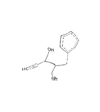 C#CC(O)C(CCC)Cc1ccccc1